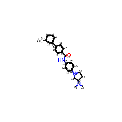 CC(=O)c1cccc(-c2ccc(C(=O)Nc3ccc(N4CCC(N(C)C)C4)cc3)cc2)c1